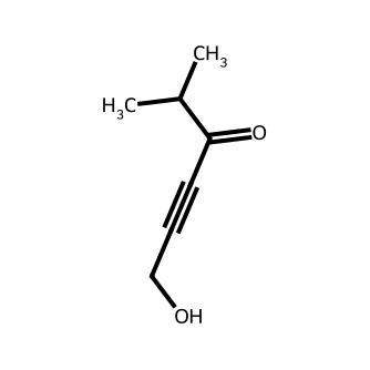 CC(C)C(=O)C#CCO